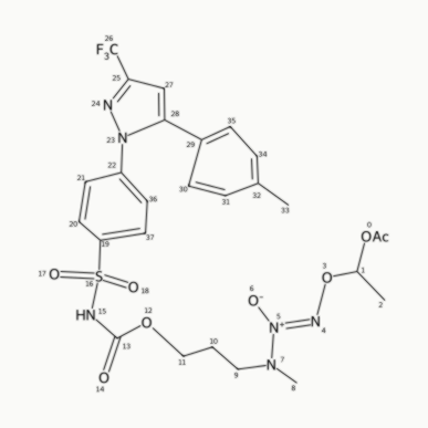 CC(=O)OC(C)ON=[N+]([O-])N(C)CCCOC(=O)NS(=O)(=O)c1ccc(-n2nc(C(F)(F)F)cc2-c2ccc(C)cc2)cc1